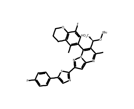 Cc1nc2cc(-c3ncc(-c4ccc(F)cc4)s3)nn2c(-c2cc(F)c3c(c2C)CCCO3)c1[C@H](OC(C)(C)C)C(=O)O